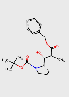 CC(C(=O)OCc1ccccc1)[C@@H](O)[C@@H]1CCCN1C(=O)OC(C)(C)C